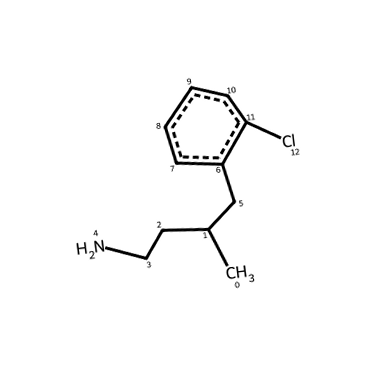 CC(CCN)Cc1ccccc1Cl